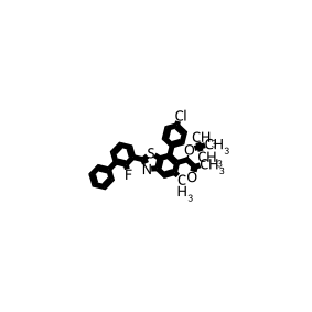 CC(=O)[C@@H](OC(C)(C)C)c1c(C)cc2nc(-c3cccc(-c4ccccc4)c3F)sc2c1-c1ccc(Cl)cc1